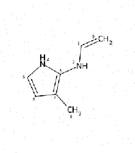 C=CNc1[nH]ccc1C